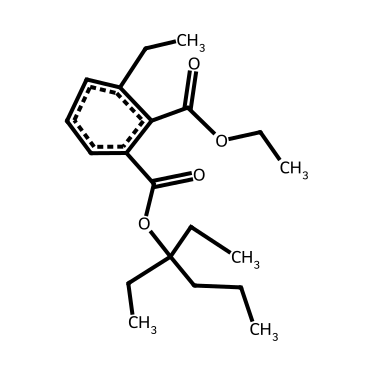 CCCC(CC)(CC)OC(=O)c1cccc(CC)c1C(=O)OCC